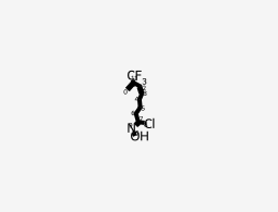 C=C(/C=C\CCC/C(Cl)=N/O)C(F)(F)F